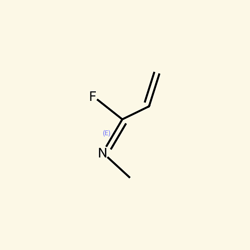 C=C/C(F)=N\C